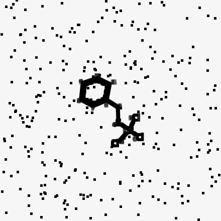 Cl[Si](Cl)(Cl)SCc1ccccc1